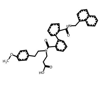 COc1ccc(CCN(CCC(=O)O)C(=O)c2ccccc2-c2ccccc2C(=O)NCc2cccc3ccccc23)cc1